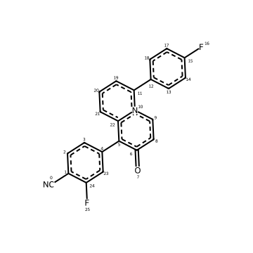 N#Cc1ccc(-c2c(=O)ccn3c(-c4ccc(F)cc4)cccc23)cc1F